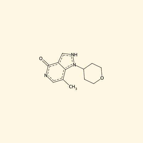 Cc1cnc(=O)c2c[nH]n(C3CCOCC3)c1-2